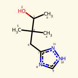 CC(O)C(C)(C)Cc1nc[nH]n1